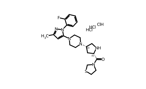 Cc1cc(N2CCN([C@@H]3CN[C@H](C(=O)N4CCSC4)C3)CC2)n(-c2ccccc2F)n1.Cl.Cl.Cl